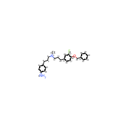 CCN(CCCc1ccc(N)cc1)CCCc1ccc(OCc2ccccc2)c(F)c1